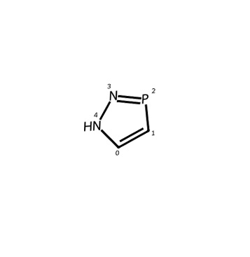 c1cpn[nH]1